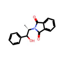 C[C@@H](C(O)c1ccccc1)N1C(=O)c2ccccc2C1=O